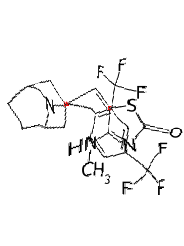 CNC1=NC(=O)SC1=CC1CC2CCC(C1)N2Cc1ccc(C(F)(F)F)cc1C(F)(F)F